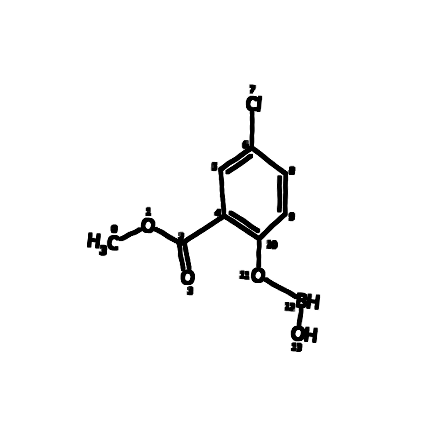 COC(=O)c1cc(Cl)ccc1OBO